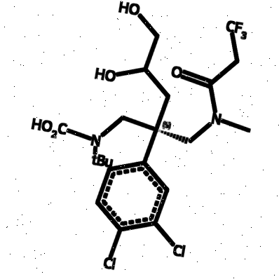 CN(C[C@@](CC(O)CO)(CN(C(=O)O)C(C)(C)C)c1ccc(Cl)c(Cl)c1)C(=O)CC(F)(F)F